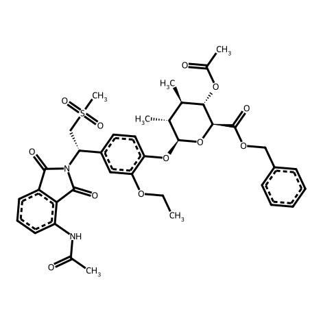 CCOc1cc([C@@H](CS(C)(=O)=O)N2C(=O)c3cccc(NC(C)=O)c3C2=O)ccc1O[C@@H]1O[C@H](C(=O)OCc2ccccc2)[C@@H](OC(C)=O)[C@H](C)[C@H]1C